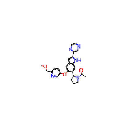 COCc1ccc(Oc2cc3cc(-c4cnccn4)[nH]c3cc2C2CCCN2C(C)=O)cn1